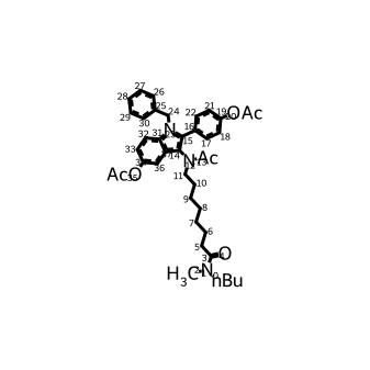 CCCCN(C)C(=O)CCCCCCCN(C(C)=O)c1c(-c2ccc(OC(C)=O)cc2)n(Cc2ccccc2)c2ccc(OC(C)=O)cc12